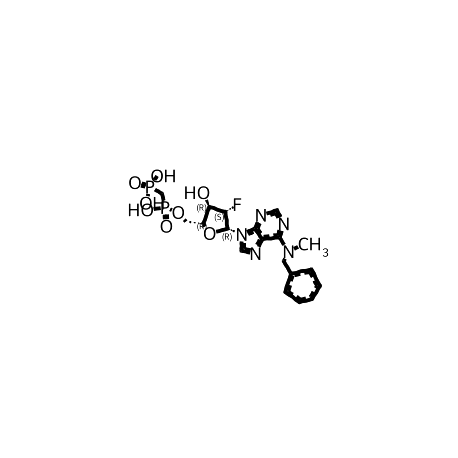 CN(Cc1ccccc1)c1ncnc2c1ncn2[C@@H]1O[C@H](COP(=O)(O)CP(=O)(O)O)[C@@H](O)[C@@H]1F